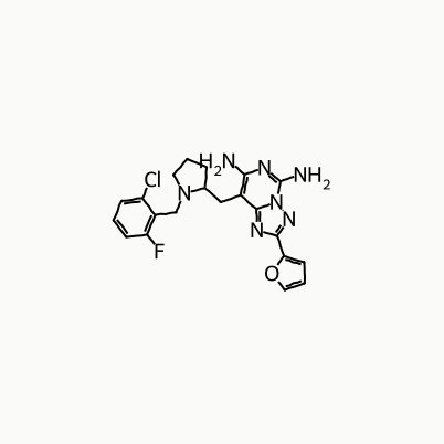 Nc1nc(N)n2nc(-c3ccco3)nc2c1CC1CCCN1Cc1c(F)cccc1Cl